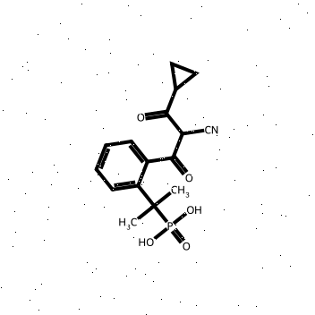 CC(C)(c1ccccc1C(=O)C(C#N)C(=O)C1CC1)P(=O)(O)O